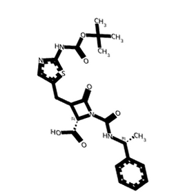 C[C@@H](NC(=O)N1C(=O)C(Cc2cnc(NC(=O)OC(C)(C)C)s2)[C@H]1C(=O)O)c1ccccc1